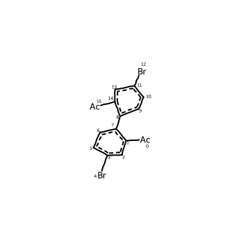 CC(=O)c1cc(Br)ccc1-c1ccc(Br)cc1C(C)=O